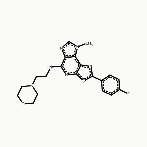 Cn1cnc2c(NCCN3CCOCC3)nc3sc(-c4ccc(F)cc4)nc3c21